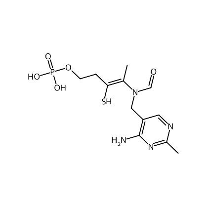 CC(=C(S)CCOP(=O)(O)O)N(C=O)Cc1cnc(C)nc1N